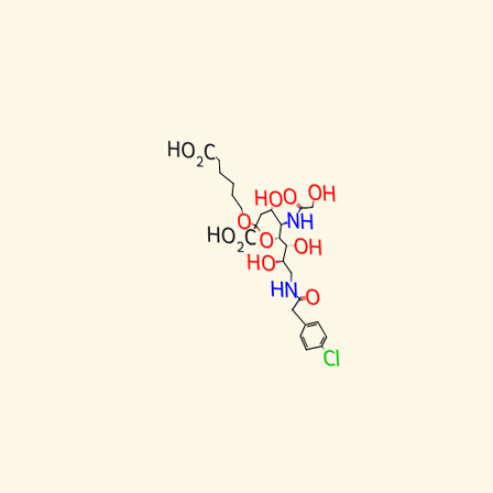 O=C(O)CCCCCO[C@]1(C(=O)O)C[C@H](O)[C@@H](NC(=O)CO)[C@H]([C@H](O)[C@H](O)CNC(=O)Cc2ccc(Cl)cc2)O1